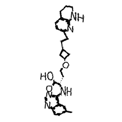 Cc1ccc2ncnc(N[C@@H](CCO[C@H]3C[C@H](CCc4ccc5c(n4)NCCC5)C3)C(=O)O)c2c1